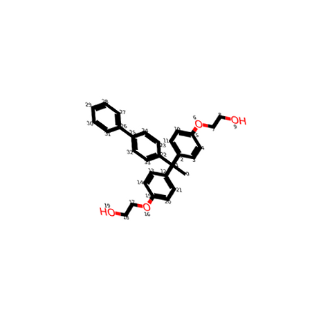 CC(c1ccc(OCCO)cc1)(c1ccc(OCCO)cc1)c1ccc(-c2ccccc2)cc1